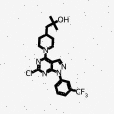 CC(C)(O)CC1CCN(c2nc(Cl)nc3c2cnn3-c2cccc(C(F)(F)F)c2)CC1